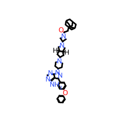 Nc1ncnc2c1c(-c1ccc(Oc3ccccc3)cc1)nn2C1CCN(C2C[C@@H]3CN(C4CN(C(=O)CC56CC7CC(CC(C7)C5)C6)C4)C[C@@H]3C2)CC1